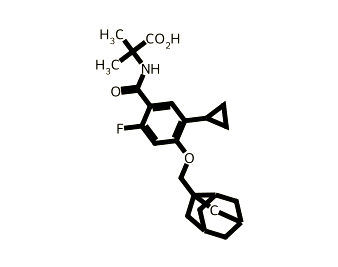 CC(C)(NC(=O)c1cc(C2CC2)c(OCC23CC4CC(CC2C4)C3)cc1F)C(=O)O